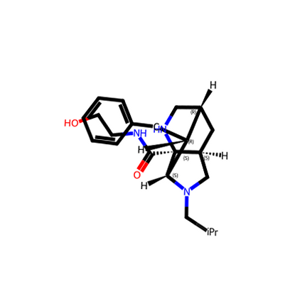 CC(C)CN1C[C@@H]2C[C@H]3CN[C@]2(C(=O)NCCO)[C@@H]1[C@@H]3Cc1ccccc1